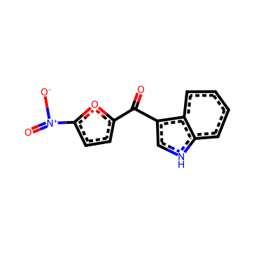 O=C(c1ccc([N+](=O)[O-])o1)c1c[nH]c2ccccc12